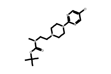 CN(CCN1CCN(c2ncc(Cl)cn2)CC1)C(=O)OC(C)(C)C